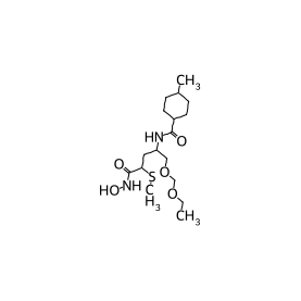 CCOCOCC(CC(SC)C(=O)NO)NC(=O)C1CCC(C)CC1